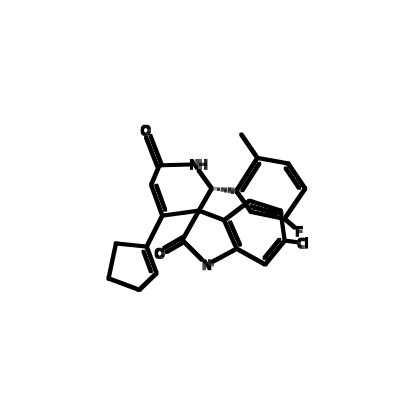 Cc1ccc(F)cc1[C@H]1NC(=O)C=C(C2=CCCC2)C12C(=O)[N]c1cc(Cl)ccc12